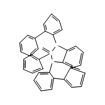 O=P1(c2ccccc2)N(c2ccccc2-c2ccccc2)c2ccccc2N1c1ccccc1-c1ccccc1